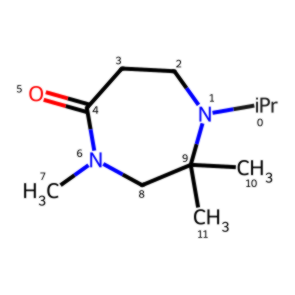 CC(C)N1CCC(=O)N(C)CC1(C)C